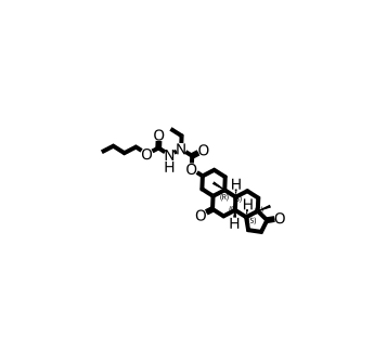 CCCCOC(=O)NN(CC)C(=O)OC1CC[C@@]2(C)C(C1)C(=O)C[C@@H]1[C@@H]2CC[C@]2(C)C(=O)CC[C@@H]12